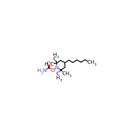 CCCCCCC1CC(C)(C)N(OC(N)=O)C(C)(C)C1